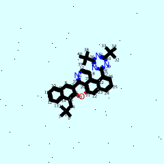 CC(C)(C)Cc1c2c(cc3ccccc13)-c1nccc3c1c(cc1cccc(-c4nc(C(C)(C)C)nc(C(C)(C)C)n4)c13)O2